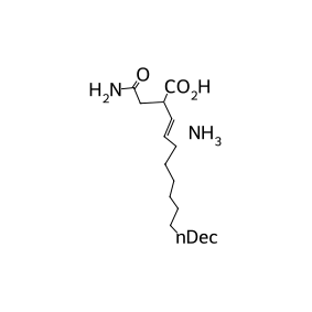 CCCCCCCCCCCCCCCCC=CC(CC(N)=O)C(=O)O.N